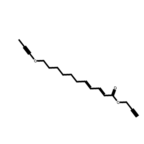 C#CCOC(=O)C=CC=CCCCCCCOC#CC